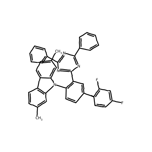 Cc1ccc2c3ccc(C)cc3n(-c3ccc(-c4ccc(F)cc4F)cc3-c3nc(-c4ccccc4)nc(-c4ccccc4)n3)c2c1